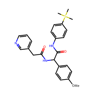 COc1ccc(C(NC(=O)Cc2cccnc2)C(=O)Nc2ccc(S(C)(C)C)cc2)cc1